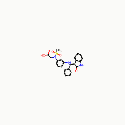 CS(=O)(=O)N(CC(=O)O)c1cccc(NC(=C2C(=O)Nc3ccccc32)c2ccccc2)c1